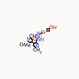 COc1cnc(C)cc1-c1cc(C)ncc1C(=O)Nc1nnc(OC[C@H]2C[C@@H](O)C2)s1